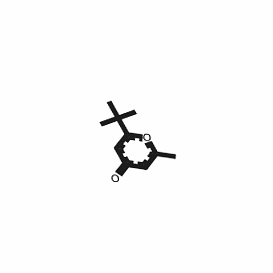 Cc1cc(=O)cc(C(C)(C)C)o1